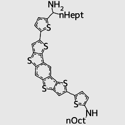 CCCCCCCCNc1ccc(-c2cc3sc4cc5sc6cc(-c7ccc(C(N)CCCCCCC)s7)sc6c5cc4c3s2)s1